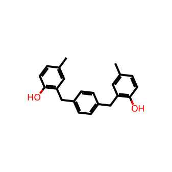 Cc1ccc(O)c(Cc2ccc(Cc3cc(C)ccc3O)cc2)c1